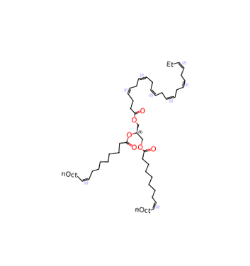 CC/C=C\C/C=C\C/C=C\C/C=C\C/C=C\C/C=C\CCC(=O)OC[C@@H](COC(=O)CCCCCCC/C=C\CCCCCCCC)OC(=O)CCCCCCC/C=C\CCCCCCCC